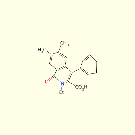 CCn1c(C(=O)O)c(-c2ccccc2)c2cc(C)c(C)cc2c1=O